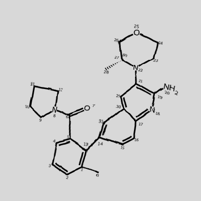 Cc1cccc(C(=O)N2CCCC2)c1-c1ccc2nc(N)c(N3CCOC[C@H]3C)cc2c1